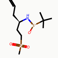 C=CC[C@H](CCS(C)(=O)=O)N[S+]([O-])C(C)(C)C